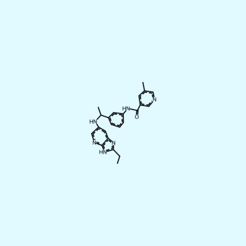 CCc1nc2cc(NC(C)c3cccc(NC(=O)c4cncc(C)c4)c3)cnc2[nH]1